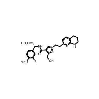 COc1ccc([C@H](CC(=O)O)NC(=O)c2cn(CCc3ccc4c(n3)NCCC4)nc2CO)cc1F